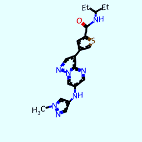 CCC(CC)NC(=O)c1cc(-c2cnn3cc(Nc4cnn(C)c4)cnc23)cs1